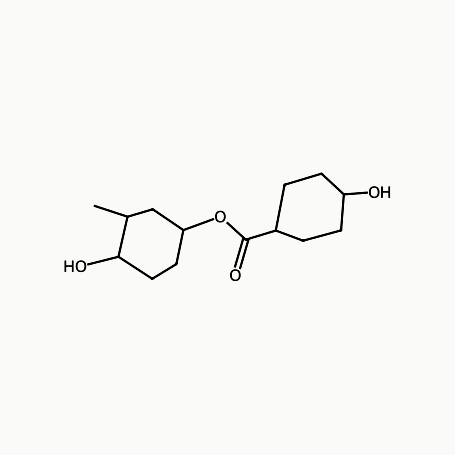 CC1CC(OC(=O)C2CCC(O)CC2)CCC1O